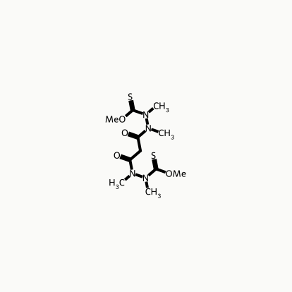 COC(=S)N(C)N(C)C(=O)CC(=O)N(C)N(C)C(=S)OC